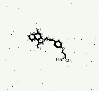 CN(C)CCOc1ccc(/C=C/C(=O)N2CC(CCl)c3c2cc(O)c2ncccc32)cc1